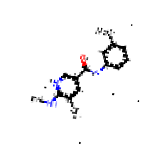 COc1cccc(NC(=O)c2cnc(NC(C)C)c(C(F)(F)F)c2)c1